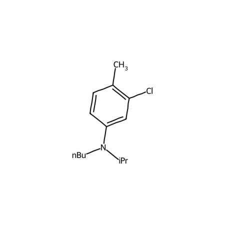 CCCCN(c1ccc(C)c(Cl)c1)C(C)C